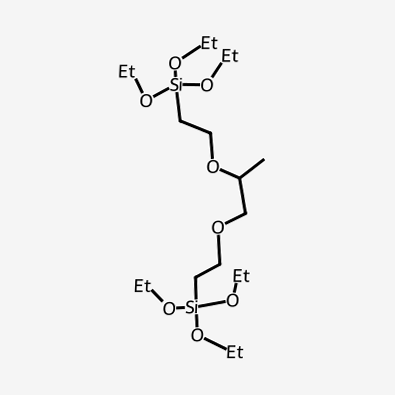 CCO[Si](CCOCC(C)OCC[Si](OCC)(OCC)OCC)(OCC)OCC